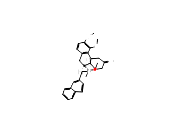 COc1ccc2c(c1OC)[C@]13CCN(C)[C@H](C2)[C@]1(OCc1ccc2ccccc2c1)CCC(=O)C3